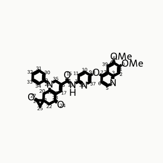 COc1cc2nccc(Oc3ccc(NC(=O)C4=CC5=C(CC6(CC5=O)CC6=O)N(c5ccccc5)C4)nc3)c2cc1OC